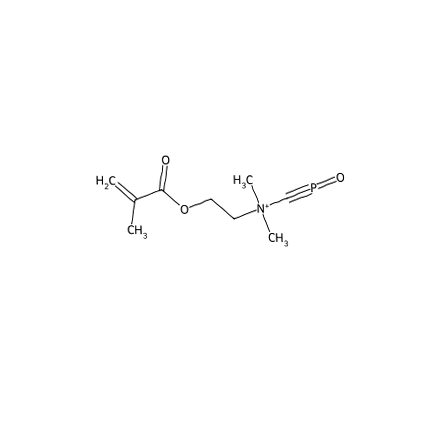 C=C(C)C(=O)OCC[N+](C)(C)C#P=O